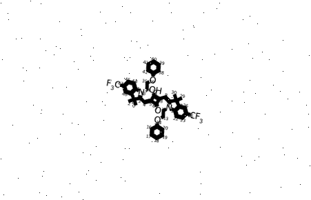 CC1(C)C(/C=C2/C(=O)C(/C=C3\N(CCOc4ccccc4)c4ccc(C(F)(F)F)cc4C3(C)C)=C2O)=[N+](CCOc2ccccc2)c2ccc(C(F)(F)F)cc21